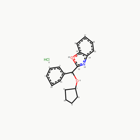 Cl.c1ccc(C(OC2CCCC2)c2nc3ccccc3o2)cc1